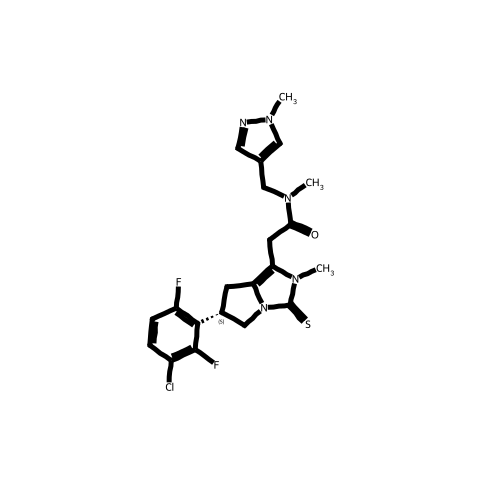 CN(Cc1cnn(C)c1)C(=O)Cc1c2n(c(=S)n1C)C[C@H](c1c(F)ccc(Cl)c1F)C2